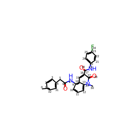 Cc1ccc(CC(=O)Nc2cccc3c2cc(C(=O)Nc2ccc(F)cc2)c(=O)n3C)cc1